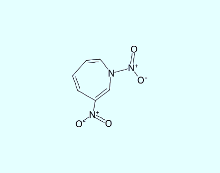 O=[N+]([O-])C1=CN([N+](=O)[O-])C=CC=C1